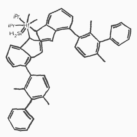 Cc1ccc(-c2cccc3c2C=C[CH]3[Hf]([CH3])([CH3])(=[SiH2])([CH](C)C)([CH](C)C)[CH]2C=Cc3c(-c4ccc(C)c(-c5ccccc5)c4C)cccc32)c(C)c1-c1ccccc1